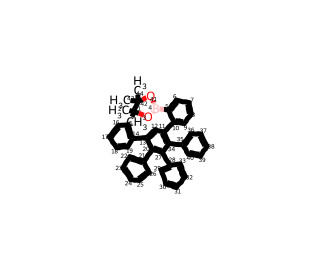 CC1(C)OB(c2ccccc2-c2cc(-c3ccccc3)c(-c3ccccc3)c(-c3ccccc3)c2-c2ccccc2)OC1(C)C